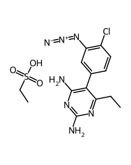 CCS(=O)(=O)O.CCc1nc(N)nc(N)c1-c1ccc(Cl)c(N=[N+]=[N-])c1